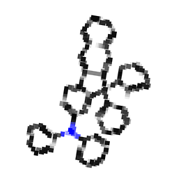 c1ccc(N(c2ccccc2)c2ccc3c(c2)C2(c4ccccc4-c4ccccc42)c2cc4ccccc4cc2-3)cc1